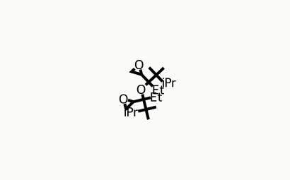 CCC(OC(CC)(C1CO1)C(C)(C)C(C)C)(C1CO1)C(C)(C)C(C)C